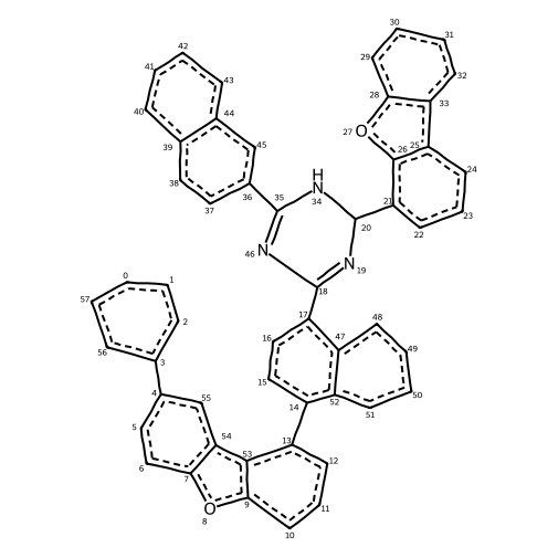 c1ccc(-c2ccc3oc4cccc(-c5ccc(C6=NC(c7cccc8c7oc7ccccc78)NC(c7ccc8ccccc8c7)=N6)c6ccccc56)c4c3c2)cc1